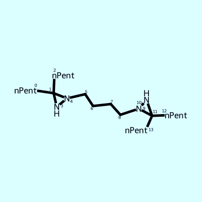 CCCCCC1(CCCCC)NN1CCCCN1NC1(CCCCC)CCCCC